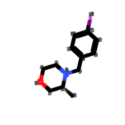 C[C@@H]1COCCN1Cc1ccc(I)cc1